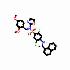 COc1ccc(CN(c2nccs2)S(=O)(=O)c2cc(Cl)c(N[C@@H](C)c3cccc4ccccc34)cc2F)c(OC)c1